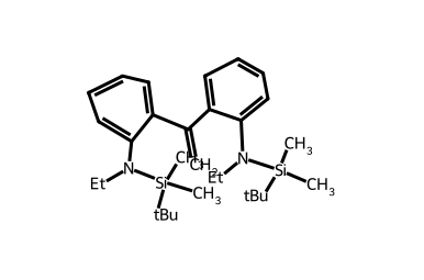 C=C(c1ccccc1N(CC)[Si](C)(C)C(C)(C)C)c1ccccc1N(CC)[Si](C)(C)C(C)(C)C